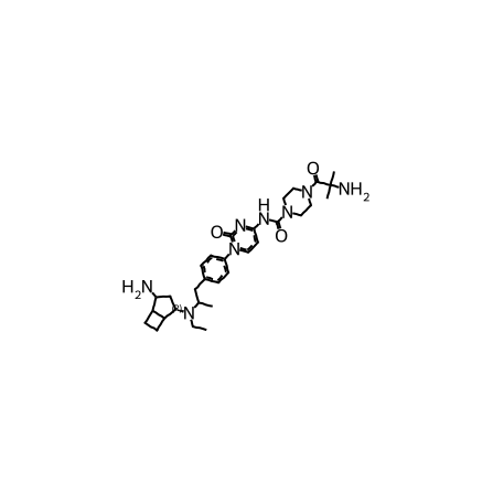 CCN(C(C)Cc1ccc(-n2ccc(NC(=O)N3CCN(C(=O)C(C)(C)N)CC3)nc2=O)cc1)[C@@H]1CC(N)C2CCC21